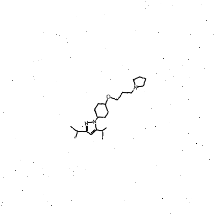 CC(C)c1cc(C(C)C)n(C2CCC(OCCCN3CCCC3)CC2)n1